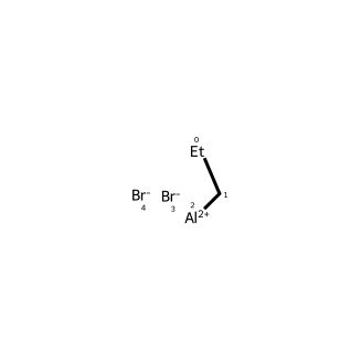 CC[CH2][Al+2].[Br-].[Br-]